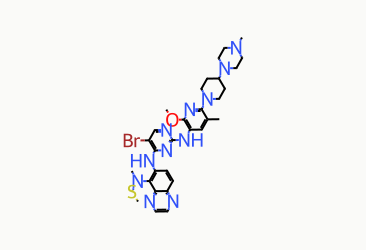 COc1nc(N2CCC(N3CCN(C)CC3)CC2)c(C)cc1Nc1ncc(Br)c(Nc2ccc3nccnc3c2N(C)SC)n1